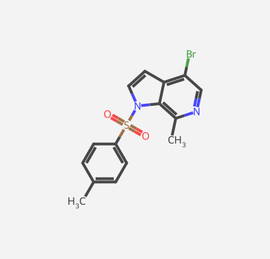 Cc1ccc(S(=O)(=O)n2ccc3c(Br)cnc(C)c32)cc1